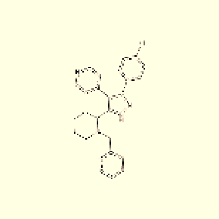 Clc1ccc(-c2n[nH]c(C3CCCCN3Cc3ccccc3)c2-c2ccncc2)cc1